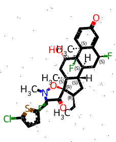 CC[C@@H]1C[C@H]2[C@@H]3C[C@H](F)C4=CC(=O)C=C[C@]4(C)[C@@]3(F)[C@@H](O)C[C@]2(C)[C@@]1(ON(C)Cc1ccc(Cl)s1)C(=O)CF